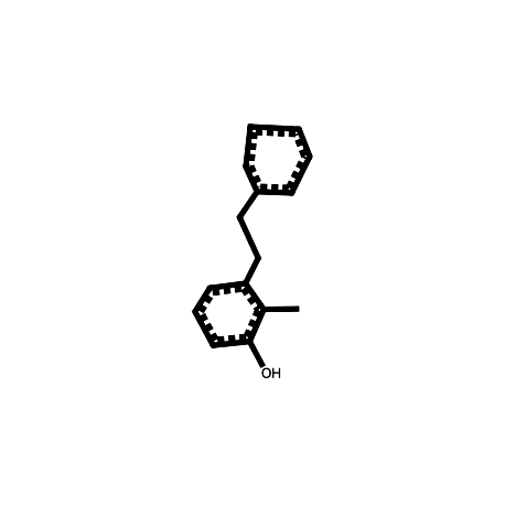 Cc1c(O)cccc1CCc1ccccc1